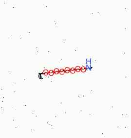 C=C=C(C)CCOCCOCCOCCOCCOCCOCCOCCOCCNC=C